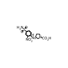 NS(=O)(=O)c1ccc(N[C@@H]2CCN(C(=O)O)C2)c([N+](=O)[O-])c1